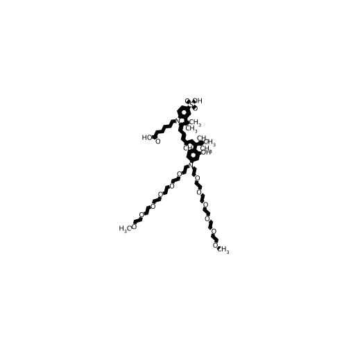 C=C(/C=C(\c1ccc(N(CCOCCOCCOCCOCCOCCOC)CCOCCOCCOCCOCCOCCOC)cc1O)C(C)(C)C)/C=C/C=C1/N(CCCCCC(=O)O)c2ccc(S(=O)(=O)O)cc2C1(C)C